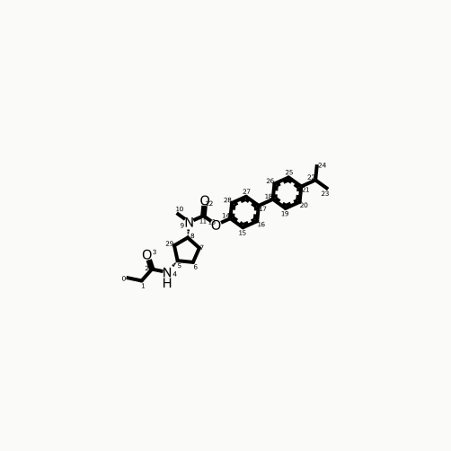 CCC(=O)N[C@H]1CC[C@@H](N(C)C(=O)Oc2ccc(-c3ccc(C(C)C)cc3)cc2)C1